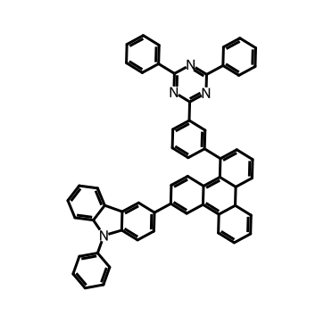 C1=CC2=c3cc(-c4ccc5c(c4)c4ccccc4n5-c4ccccc4)ccc3=C3C(c4cccc(-c5nc(-c6ccccc6)nc(-c6ccccc6)n5)c4)=CC=CC3C2C=C1